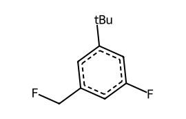 CC(C)(C)c1cc(F)cc(CF)c1